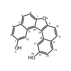 Oc1ccc2ccc3oc4ccc5ccc(O)cc5c4c3c2c1